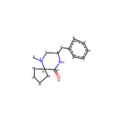 CN1CC(Cc2ccccc2)[N]C(=O)C12CCCC2